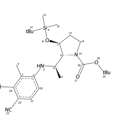 Cc1c(N[C@H](C)[C@@H]2[C@@H](O[Si](C)(C)C(C)(C)C)CCN2C(=O)OC(C)(C)C)ccc(C#N)c1Cl